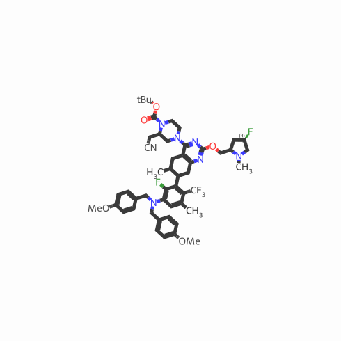 COc1ccc(CN(Cc2ccc(OC)cc2)c2cc(C)c(C(F)(F)F)c(C3Cc4nc(OCC5C[C@@H](F)CN5C)nc(N5CCN(C(=O)OC(C)(C)C)C(CC#N)C5)c4CC3C)c2F)cc1